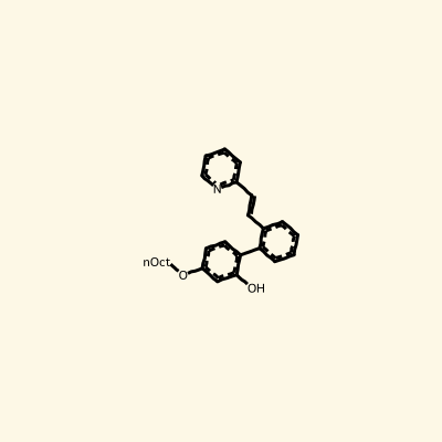 CCCCCCCCOc1ccc(-c2ccccc2C=Cc2ccccn2)c(O)c1